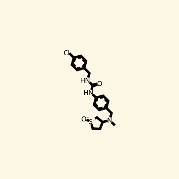 CN(Cc1ccc(NC(=O)NCc2ccc(Cl)cc2)cc1)C1CC[S+]([O-])C1